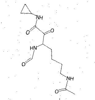 CC(=O)NCCCCC(NC=O)C(=O)C(=O)NC1CC1